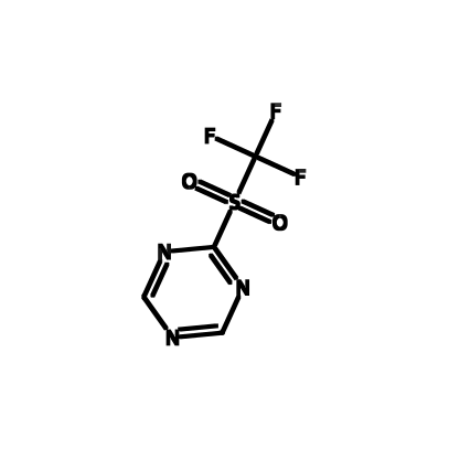 O=S(=O)(c1ncncn1)C(F)(F)F